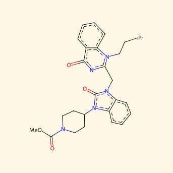 COC(=O)N1CCC(n2c(=O)n(Cc3nc(=O)c4ccccc4n3CCC(C)C)c3ccccc32)CC1